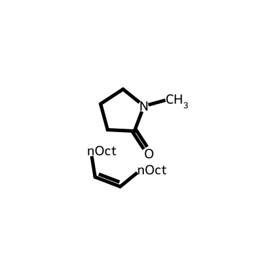 CN1CCCC1=O.[CH2]CCCCCCC/C=C\CCCCCCCC